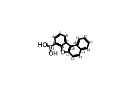 OB(O)c1cccc2c1oc1ccc3ccccc3c12